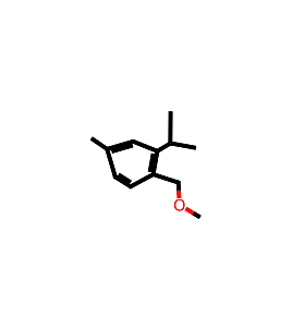 COCc1ccc(C)cc1C(C)C